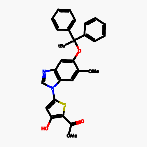 COC(=O)c1sc(-n2cnc3cc(O[Si](c4ccccc4)(c4ccccc4)C(C)(C)C)c(OC)cc32)cc1O